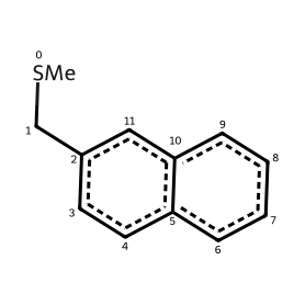 [CH2]SCc1ccc2ccccc2c1